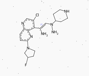 N/C(=C\N(N)C1CCNCC1)c1c(Cl)cnc2ccc(N3CCC(F)C3)nc12